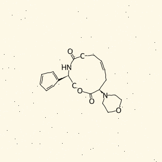 O=C1CCC=CC[C@@H](N2CCOCC2)C(=O)OC[C@@H](c2ccccc2)N1